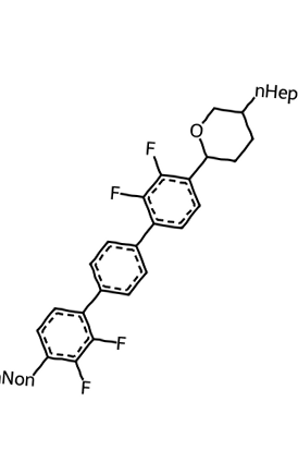 CCCCCCCCCc1ccc(-c2ccc(-c3ccc(C4CCC(CCCCCCC)CO4)c(F)c3F)cc2)c(F)c1F